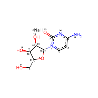 Nc1ccn([C@@H]2O[C@H](CO)[C@@H](O)[C@H]2O)c(=O)n1.[NaH]